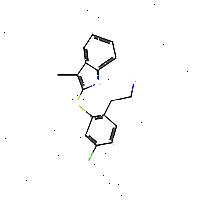 Cc1c(Sc2cc(Cl)ccc2CCN)[nH]c2ccccc12